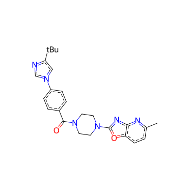 Cc1ccc2oc(N3CCN(C(=O)c4ccc(-n5cnc(C(C)(C)C)c5)cc4)CC3)nc2n1